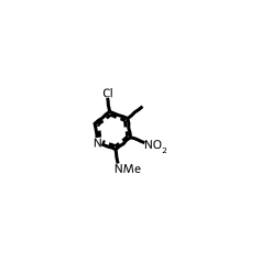 CNc1ncc(Cl)c(C)c1[N+](=O)[O-]